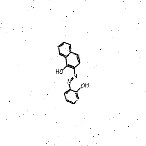 Oc1ccccc1N=Nc1ccc2ccccc2c1O